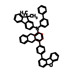 CC1(C)c2ccccc2-c2ccc(N(c3cccc(-c4ccccc4)c3)c3ccc(-c4ccc(-c5cccc6oc7ccccc7c56)cc4)c4c3C3c5ccccc5C4c4ccccc43)cc21